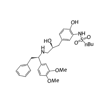 CCCCS(=O)(=O)Nc1cc(C[C@H](O)CN[C@H](Cc2ccccc2)c2ccc(OC)c(OC)c2)ccc1O